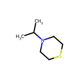 CC(C)N1[CH]CSCC1